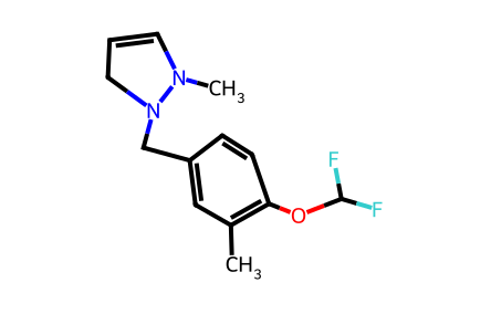 Cc1cc(CN2CC=CN2C)ccc1OC(F)F